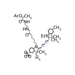 CC[N+]1=C(/C=C/C=C/C=C2\N(CCCCCC(=O)CNCCNC(=O)C(C)OC(C)=O)c3ccc(S(=O)(=O)[O-])cc3C2(C)C)C(C)(C)c2cc(C)ccc21